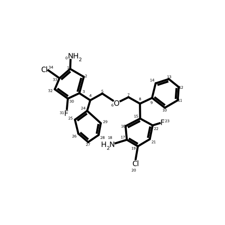 Nc1cc(C(COCC(c2ccccc2)c2cc(N)c(Cl)cc2F)c2ccccc2)c(F)cc1Cl